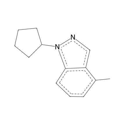 Cc1cccc2c1cnn2C1CCCC1